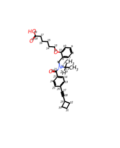 [2H]C(C)(C)N(Cc1ccccc1OCCCCCC(=O)O)C(=O)c1ccc(C#CC2CCC2)cc1